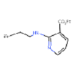 CCOC(=O)c1cccnc1NCCC(C)C